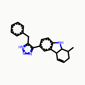 CC1CC=CC2c3cc(-c4nn[nH]c4Cc4ccccc4)ccc3NC12